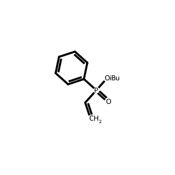 C=CP(=O)(OCC(C)C)c1ccccc1